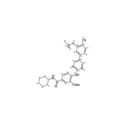 COc1cc(C(=O)NC2CCCCC2)ccc1Nc1ncc(-c2ccc(C#N)c(O[SiH2]C)c2)cn1